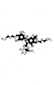 CCOCOCc1c(C)cc(S(=O)(=NCC(=O)OC(C)(C)C)c2cc(Br)c(COCOCC)c(C(F)(F)F)c2)cc1Br